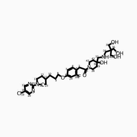 O=C(Cc1ccc(OCCCC2CCN(c3ncc(Cl)cn3)CC2)cc1F)N1CCC(O)(CNCC(CO)(CO)CO)CC1